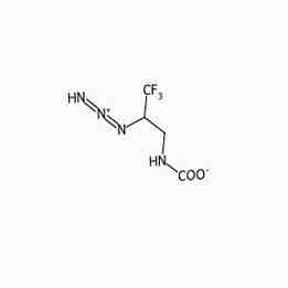 N=[N+]=NC(CNC(=O)[O-])C(F)(F)F